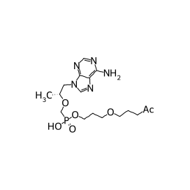 CC(=O)CCCOCCCOP(=O)(O)CO[C@H](C)Cn1cnc2c(N)ncnc21